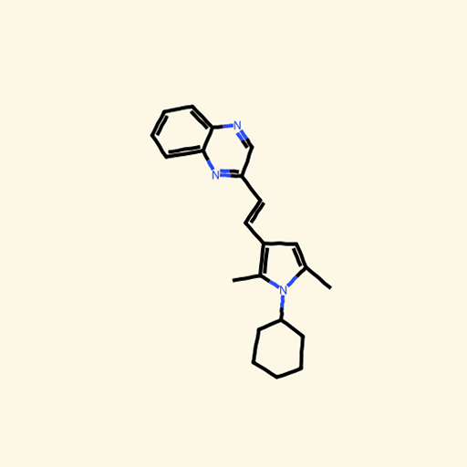 Cc1cc(C=Cc2cnc3ccccc3n2)c(C)n1C1CCCCC1